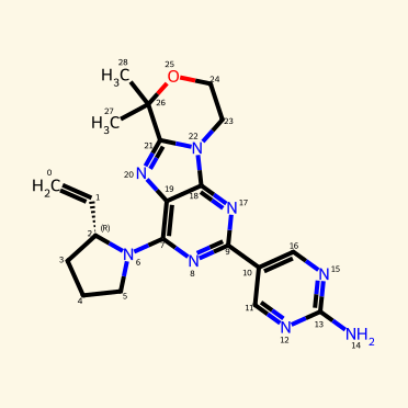 C=C[C@H]1CCCN1c1nc(-c2cnc(N)nc2)nc2c1nc1n2CCOC1(C)C